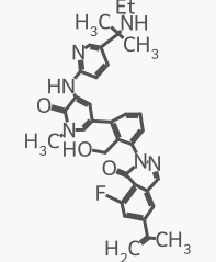 C=C(C)c1cc(F)c2c(=O)n(-c3cccc(-c4cc(Nc5ccc(C(C)(C)NCC)cn5)c(=O)n(C)c4)c3CO)ncc2c1